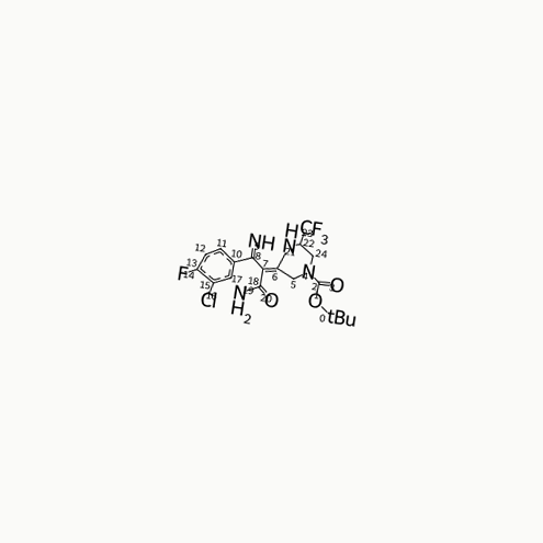 CC(C)(C)OC(=O)N1C/C(=C(/C(=N)c2ccc(F)c(Cl)c2)C(N)=O)NC(C(F)(F)F)C1